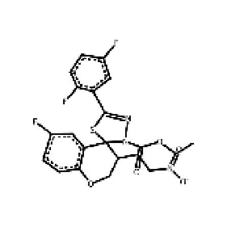 CCOC(=O)N1N=C(c2cc(F)ccc2F)SC12c1cc(F)ccc1OCC2CC[N+](=O)[O-]